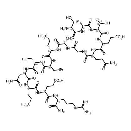 CC(C)C[C@H](NC(=O)[C@H](CCC(=O)O)NC(=O)[C@H](C)NC(=O)CNC(=O)[C@H](CCC(N)=O)NC(=O)[C@H](CCC(=O)O)NC(=O)[C@@H](NC(=O)[C@@H](NC(=O)[C@@H](N)CO)C(C)C)[C@@H](C)O)C(=O)N[C@@H](CO)C(=O)N[C@@H](CC(N)=O)C(=O)N[C@@H](CCC(=O)O)C(=O)N[C@@H](CCC(=O)O)C(=O)N[C@@H](CCCNC(=N)N)C(N)=O